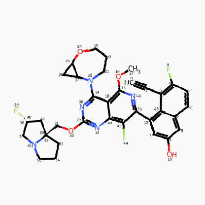 C#Cc1c(F)ccc2cc(O)cc(-c3nc(OC)c4c(N5CCCOC6CC65)nc(OC[C@@]56CCCN5C[C@H](F)C6)nc4c3F)c12